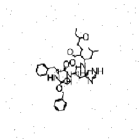 CCC(=O)CCC(C=O)C(CC(C)C)NC(=O)[C@@H](Cc1c[nH]cn1)NC(=O)[C@H](Cc1ccccc1)NC(=O)OCc1ccccc1